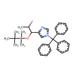 CC(I)C(O[Si](C)(C)C(C)(C)C)c1cn(C(c2ccccc2)(c2ccccc2)c2ccccc2)cn1